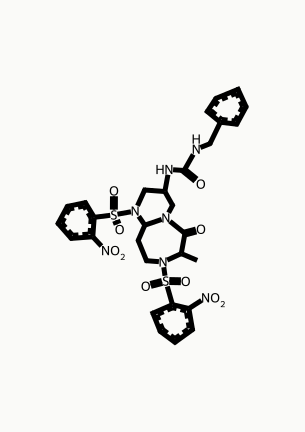 CC1C(=O)N2CC(NC(=O)NCc3ccccc3)CN(S(=O)(=O)c3ccccc3[N+](=O)[O-])C2CCN1S(=O)(=O)c1ccccc1[N+](=O)[O-]